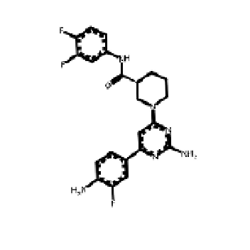 Nc1nc(-c2ccc(N)c(F)c2)cc(N2CCC[C@H](C(=O)Nc3ccc(F)c(F)c3)C2)n1